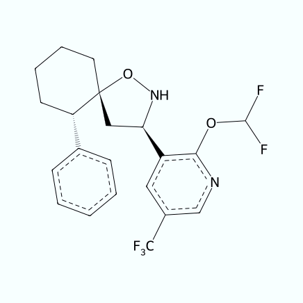 FC(F)Oc1ncc(C(F)(F)F)cc1[C@H]1C[C@@]2(CCCC[C@H]2c2ccccc2)ON1